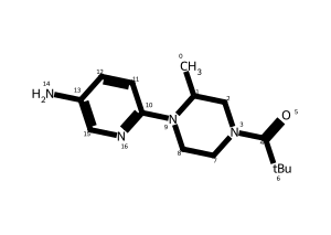 CC1CN(C(=O)C(C)(C)C)CCN1c1ccc(N)cn1